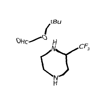 CC(C)(C)OC=O.FC(F)(F)C1CNCCN1